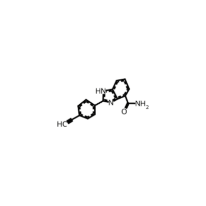 C#Cc1ccc(-c2nc3c(C(N)=O)cccc3[nH]2)cc1